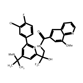 CNC(C)(C)c1cc(-c2ccc(F)c(Cl)c2)nc(C(O)(CNC(=O)c2cc(OC)c3ncccc3c2)C(F)(F)F)c1